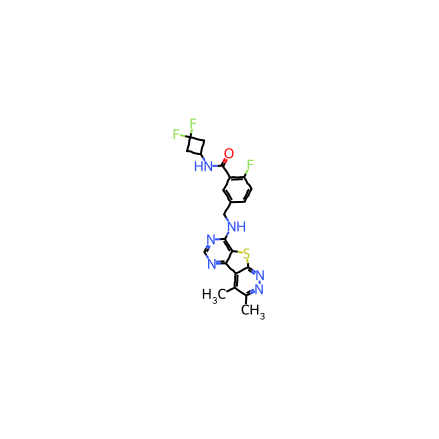 Cc1nnc2sc3c(NCc4ccc(F)c(C(=O)NC5CC(F)(F)C5)c4)ncnc3c2c1C